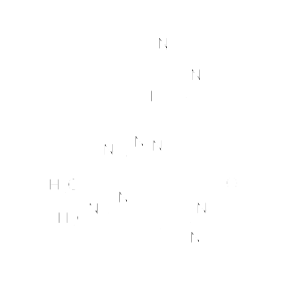 CC(c1ccc(-n2cc(F)cn2)nc1)N(C)c1ccc(-c2ccnc(N3CCOCC3)c2)cn1.N#Cc1ccc2ccccn12